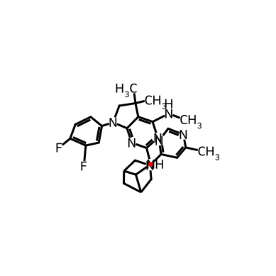 CNc1nc(NC2C3CC2CN(c2cc(C)ncn2)C3)nc2c1C(C)(C)CN2c1ccc(F)c(F)c1